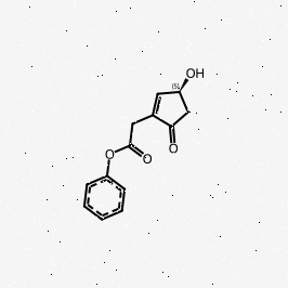 O=C(CC1=C[C@@H](O)CC1=O)Oc1ccccc1